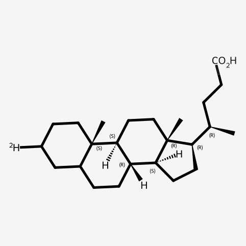 [2H]C1CC[C@@]2(C)C(CC[C@H]3[C@@H]4CC[C@H]([C@H](C)CCC(=O)O)[C@@]4(C)CC[C@@H]32)C1